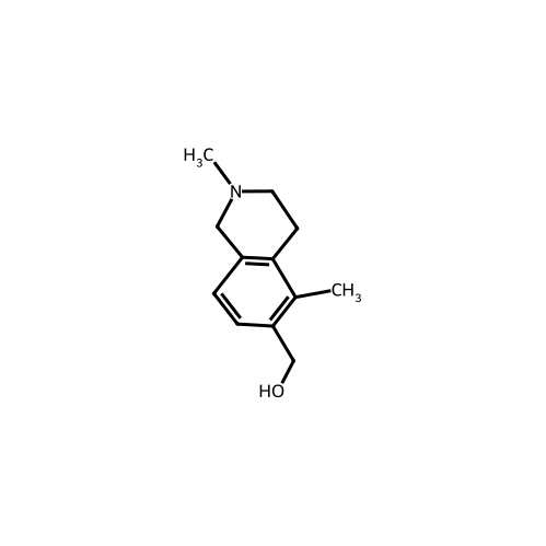 Cc1c(CO)ccc2c1CCN(C)C2